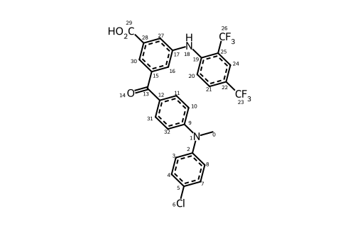 CN(c1ccc(Cl)cc1)c1ccc(C(=O)c2cc(Nc3ccc(C(F)(F)F)cc3C(F)(F)F)cc(C(=O)O)c2)cc1